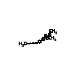 CCCCCCCCCCc1ccc(-c2ccc(C(=O)OC(C)COCCC)cc2)cc1